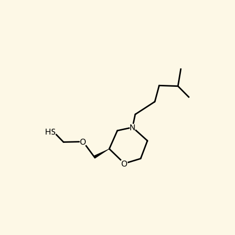 CC(C)CCCN1CCO[C@@H](COCS)C1